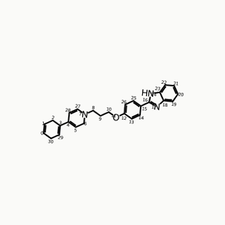 C1=CCC(C2=CCN(CCCOc3ccc(-c4nc5ccccc5[nH]4)cc3)C=C2)=CC1